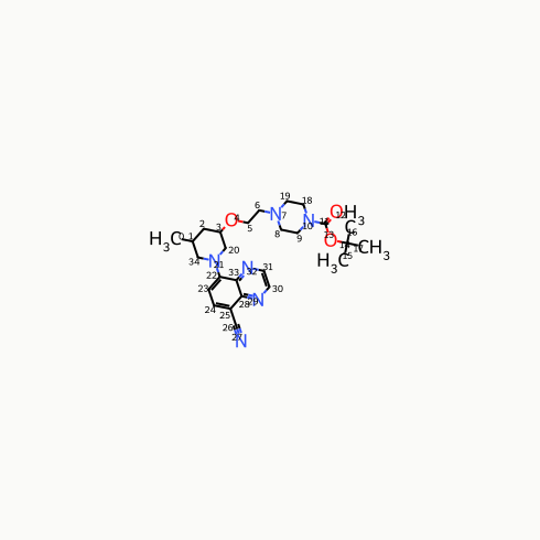 CC1CC(OCCN2CCN(C(=O)OC(C)(C)C)CC2)CN(c2ccc(C#N)c3nccnc23)C1